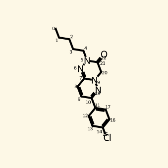 CCCCCN1N=C2C=CC(c3ccc(Cl)cc3)=NN2CC1=O